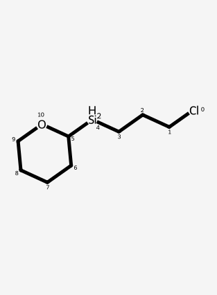 ClCCC[SiH2]C1CCCCO1